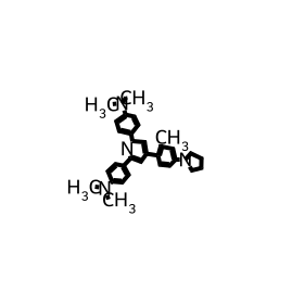 Cc1cc(N2CCCC2)ccc1-c1cc(-c2ccc(N(C)C)cc2)nc(-c2ccc(N(C)C)cc2)c1